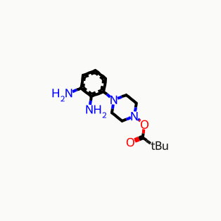 CC(C)(C)C(=O)ON1CCN(c2cccc(N)c2N)CC1